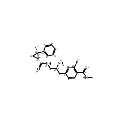 CNC(=O)c1ccc(C[C@H](N)CNC(=O)[C@@H]2C[C@@]2(C)c2ccccc2)cc1F